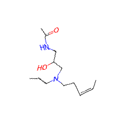 C/C=C\CCN(CCC)CC(O)CNC(C)=O